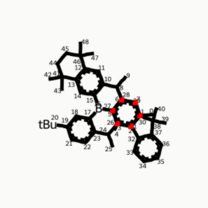 Cc1cc(C)c2c(c1)C(C)c1cc3c(cc1B2c1cc(C(C)(C)C)ccc1C(C)c1cccc2c1-c1ccccc1C2(C)C)C(C)(C)CCC3(C)C